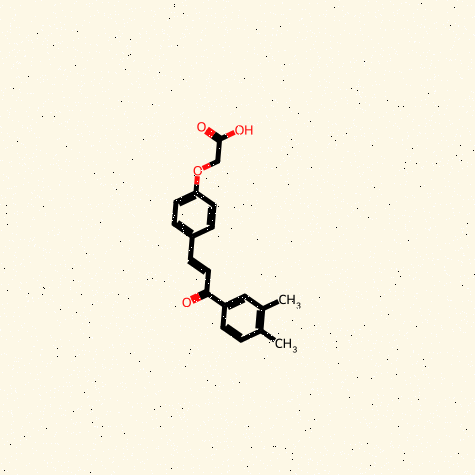 Cc1ccc(C(=O)/C=C/c2ccc(OCC(=O)O)cc2)cc1C